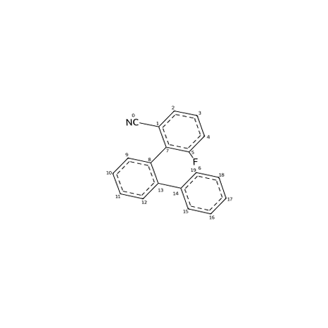 N#Cc1cccc(F)c1-c1ccccc1-c1ccccc1